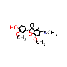 C/C=C/c1cc(OC)c2c(c1)[C@@H](C)[C@@H](c1ccc(O)c(OC)c1)O2